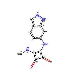 CC(C)(C)Nc1c(Nc2ccc3cn[nH]c3c2)c(=O)c1=O